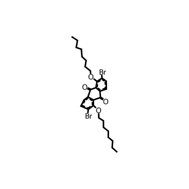 CCCCCCCCOc1c(Br)ccc2c1C(=O)c1ccc(Br)c(OCCCCCCCC)c1C2=O